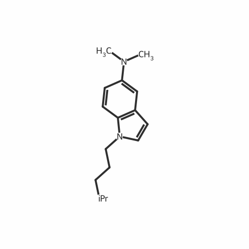 CC(C)CCCn1ccc2cc(N(C)C)ccc21